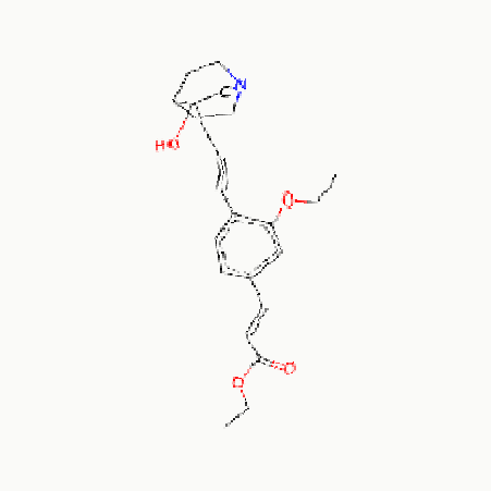 CCOC(=O)/C=C/c1ccc(C#CC2(O)CN3CCC2CC3)c(OCC)c1